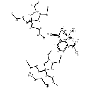 CCCC[P+](CCCC)(CCCC)CCCC.CCCC[P+](CCCC)(CCCC)CCCC.O=C([O-])c1cccc(C(=O)[O-])c1S(=O)(=O)O.OCCO